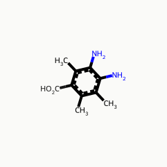 Cc1c(C)c(C(=O)O)c(C)c(N)c1N